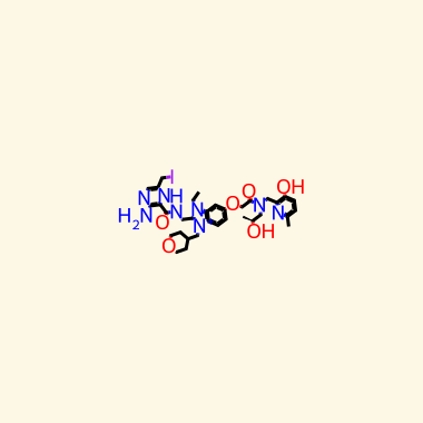 CCn1c(CNC(=O)c2nc(CI)cnc2N)[n+](CC2CCOCC2)c2ccc(OCC(=O)N(Cc3nc(C)ccc3O)C[C@H](C)O)cc21